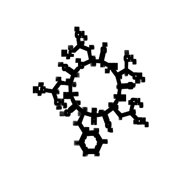 CC(C)C[C@@H]1NC(=O)C(C(C)C)NC(=O)[C@H](CC(C)C)OC(=O)[C@H](CC(C)C)NC(=O)[C@H](Cc2ccccc2)NC1=O